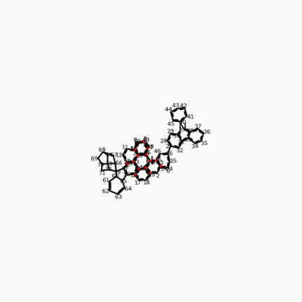 Cc1cccc(-c2cccc3cccc(-c4ccccc4N(c4cccc(-c5ccc6c(c5)c5ccccc5n6-c5ccccc5)c4)c4ccccc4-c4ccc5c(c4)C4(C6C=CC=CC56)C5CC6CC7CC4C75C6)c23)c1